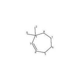 CC1(C)C=CCCCC1